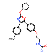 COc1ccc(-c2nc(OC3CCCC3)oc2-c2ccc(OCCNC(N)=O)cc2)cc1